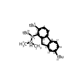 C[SiH](C)N(c1c(C(C)(C)C)ccc2c1Cc1cc(C(C)(C)C)ccc1-2)C(C)(C)C